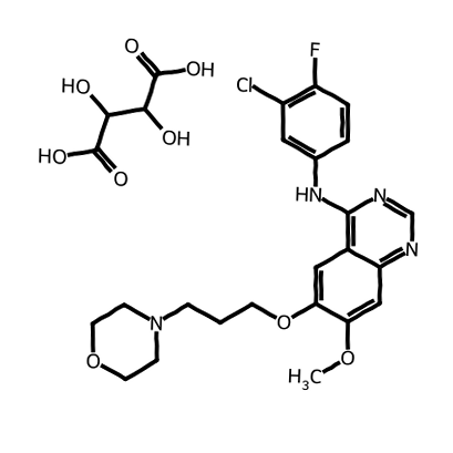 COc1cc2ncnc(Nc3ccc(F)c(Cl)c3)c2cc1OCCCN1CCOCC1.O=C(O)C(O)C(O)C(=O)O